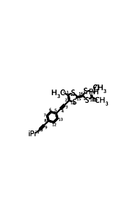 CC1=C(C#Cc2ccc(C#CC(C)C)cc2)S/C(=C2\SC(C)=[PH](C)S2)S1